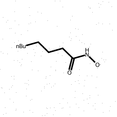 CCCCCCCC(=O)N[O]